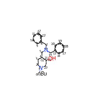 CCCCN1CC[C@@H](CN(Cc2ccccc2)Cc2ccccc2)C(O)C1